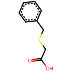 O=C(O)[CH]SCc1ccccc1